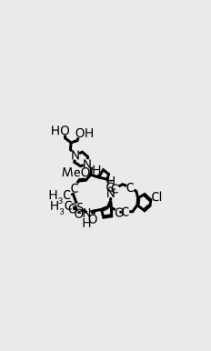 CO[C@@]1(CN2CCN(CC(CO)CO)CC2)/C=C/C[C@H](C)[C@@H](C)S(=O)(=O)NC(=O)c2ccc3c(c2)N(CCCCc2cc(Cl)ccc2CCO3)C[C@@H]2CC[C@H]21